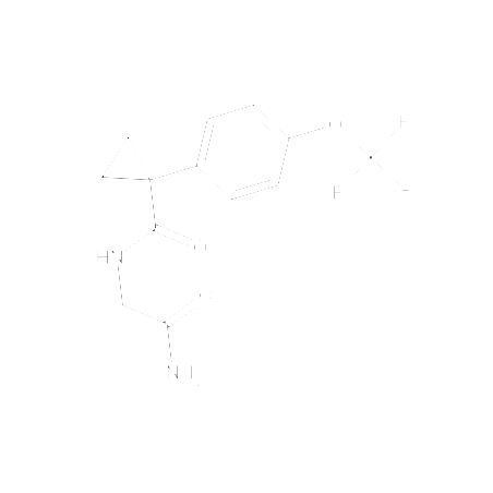 C[C@H](NC(=O)C1(c2ccc(OC(F)(F)F)cc2)CC1)C(N)=O